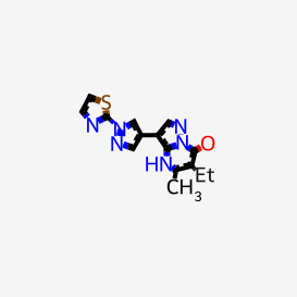 CCc1c(C)[nH]c2c(-c3cnn(-c4nccs4)c3)cnn2c1=O